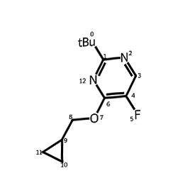 CC(C)(C)c1ncc(F)c(OCC2CC2)n1